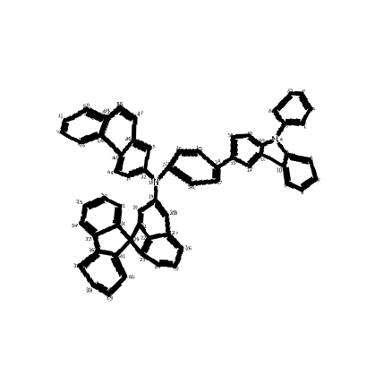 c1ccc(-n2c3ccccc3c3cc(-c4ccc(N(c5cc6c7c(cccc7c5)C65c6ccccc6-c6ccccc65)c5ccc6c(ccc7ccccc76)c5)cc4)ccc32)cc1